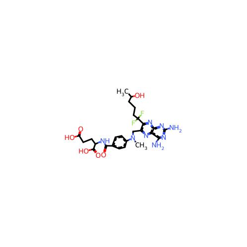 CC(O)CCCC(F)(F)c1nc2nc(N)nc(N)c2nc1CN(C)c1ccc(C(=O)NC(CCC(=O)O)C(=O)O)cc1